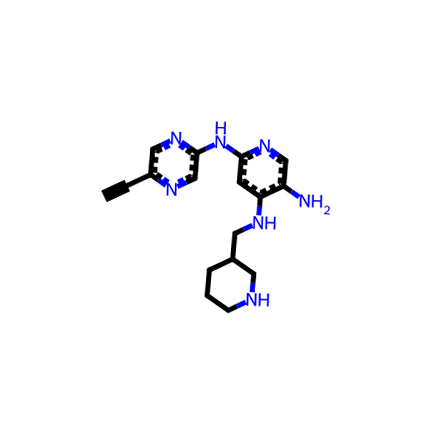 C#Cc1cnc(Nc2cc(NCC3CCCNC3)c(N)cn2)cn1